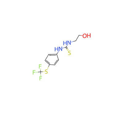 OCCNC(=S)Nc1ccc(SC(F)(F)F)cc1